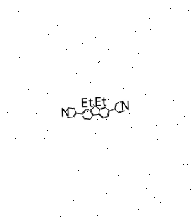 CCC1(CC)c2cc(-c3ccncc3)ccc2-c2ccc(-c3ccncc3)cc21